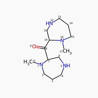 CN1CCCNCC1C(=O)C1CNCCCN1C